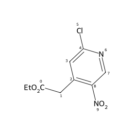 CCOC(=O)Cc1cc(Cl)ncc1[N+](=O)[O-]